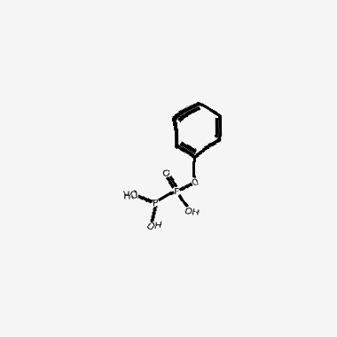 O=P(O)(Oc1ccccc1)P(O)O